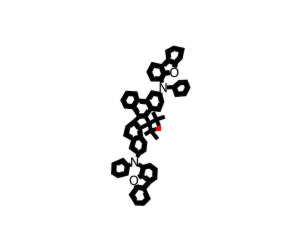 CC(C)(C)C1(C(C)(C)C)c2c(ccc3cc(N(c4ccccc4)c4cccc5c4oc4ccccc45)ccc23)-c2c1c1ccc(N(c3ccccc3)c3cccc4c3oc3ccccc34)cc1c1ccccc21